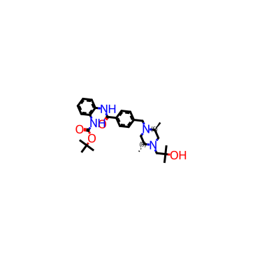 C[C@@H]1CN(Cc2ccc(C(=O)Nc3ccccc3NC(=O)OC(C)(C)C)cc2)[C@@H](C)CN1CC(C)(C)O